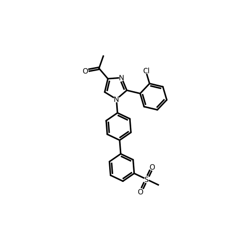 CC(=O)c1cn(-c2ccc(-c3cccc(S(C)(=O)=O)c3)cc2)c(-c2ccccc2Cl)n1